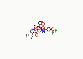 COC(=O)C(Cc1coc(-c2ccc(OC(F)F)cc2)n1)C(=O)c1ncccc1C.c1cc2cc(c1)OC2